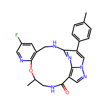 Cc1ccc(-c2cn3ncc4c3nc2NCc2cc(F)cnc2OC(C)CNC4=O)cc1